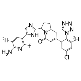 [2H]c1cc(-c2cnc(C3CCC4CC(c5cc(Cl)cc([2H])c5-n5cnnn5)=CC(=O)N43)[nH]2)c(F)nc1N